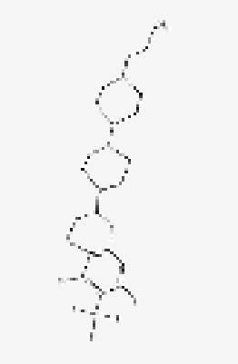 CCCC1CCC(C2CCC(C3CCc4c(cc(F)c(C(F)(F)F)c4F)C3)CC2)CC1